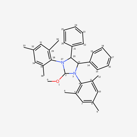 COC1N(c2c(C)cc(C)cc2C)C(c2ccccc2)C(c2ccccc2)N1c1c(C)cc(C)cc1C